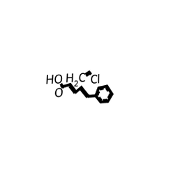 C=CCl.O=C(O)C=CC=Cc1ccccc1